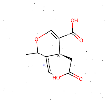 C/C=C1/C(C)OC=C(C(=O)O)[C@H]1CC(=O)O